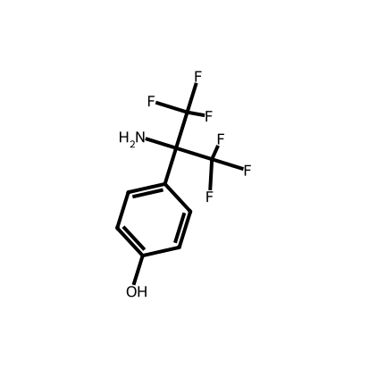 NC(c1ccc(O)cc1)(C(F)(F)F)C(F)(F)F